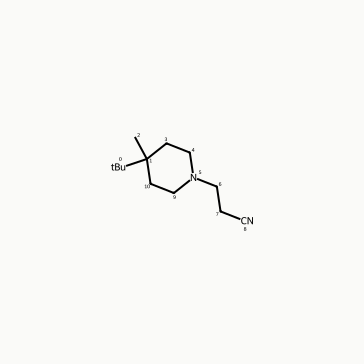 CC(C)(C)C1(C)CCN(CCC#N)CC1